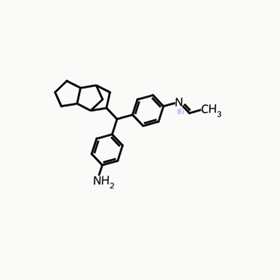 C/C=N/c1ccc(C(c2ccc(N)cc2)C2CC3CC2C2CCCC32)cc1